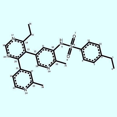 CCc1ccc(S(=O)(=O)Nc2cc(-c3c(CC)ncnc3-c3ccnc(C)c3)cnc2C)cc1